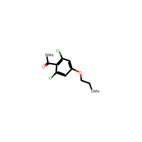 CNC(=O)c1c(Cl)cc(OCCOC)cc1Cl